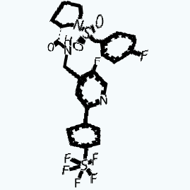 O=C(NCc1cc(-c2ccc(S(F)(F)(F)(F)F)cc2)ncc1F)[C@@H]1CCCN1S(=O)(=O)c1ccc(F)cc1